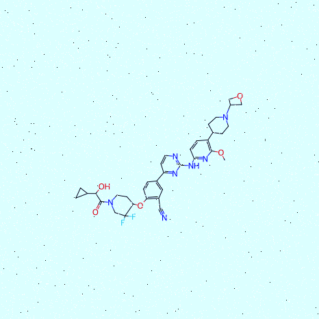 COc1nc(Nc2nccc(-c3ccc(OC4CCN(C(=O)C(O)C5CC5)CC4(F)F)c(C#N)c3)n2)ccc1C1CCN(C2COC2)CC1